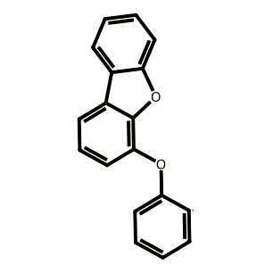 [c]1ccccc1Oc1cccc2c1oc1ccccc12